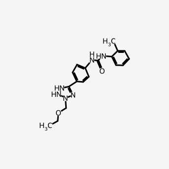 CCOCN1N=C(c2ccc(NC(=O)Nc3ccccc3C)cc2)NN1